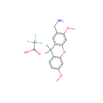 COc1ccc2c(c1)Oc1cc(OC)c(CN)cc1C2(C)C.O=C(O)C(F)(F)F